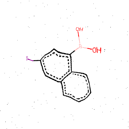 OB(O)c1cc(I)cc2ccccc12